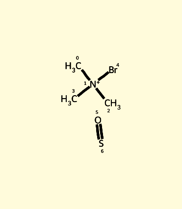 C[N+](C)(C)Br.O=S